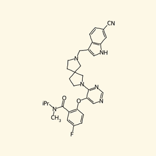 CC(C)N(C)C(=O)c1cc(F)ccc1Oc1cncnc1N1CCC2(CCN(Cc3c[nH]c4cc(C#N)ccc34)C2)C1